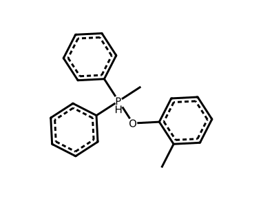 Cc1ccccc1O[PH](C)(c1ccccc1)c1ccccc1